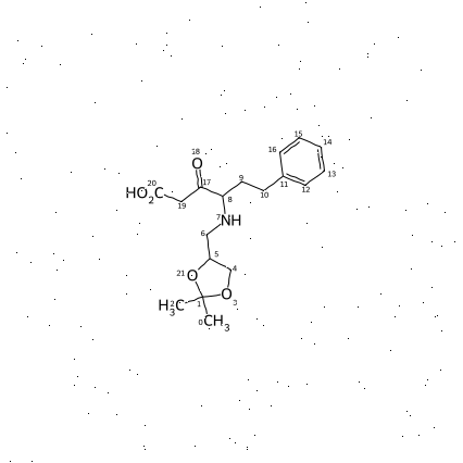 CC1(C)OCC(CNC(CCc2ccccc2)C(=O)CC(=O)O)O1